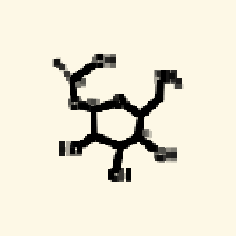 C[C@H](O)O[C@H]1OC(CN)[C@@H](O)C(O)C1O